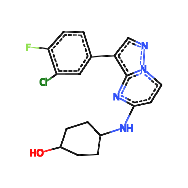 OC1CCC(Nc2ccn3ncc(-c4ccc(F)c(Cl)c4)c3n2)CC1